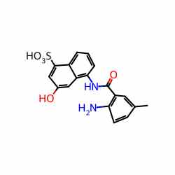 Cc1ccc(N)c(C(=O)Nc2cccc3c(S(=O)(=O)O)cc(O)cc23)c1